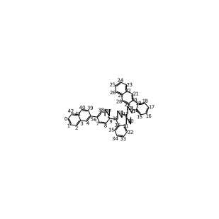 c1ccc2cc(-c3ccc(-c4nc(-n5c6ccccc6c6cc7ccccc7cc65)nc5ccccc45)nc3)ccc2c1